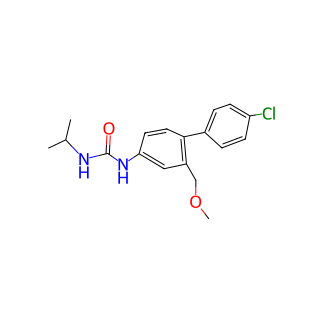 COCc1cc(NC(=O)NC(C)C)ccc1-c1ccc(Cl)cc1